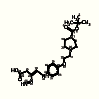 CC(C)(C)OC(=O)N1CCN(CCOc2ccc(N/C=C(/CC(=O)O)N=N)cc2)CC1